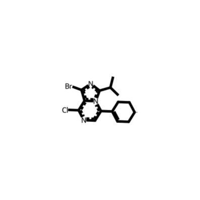 CC(C)c1nc(Br)c2c(Cl)ncc(C3=CC[CH]CC3)n12